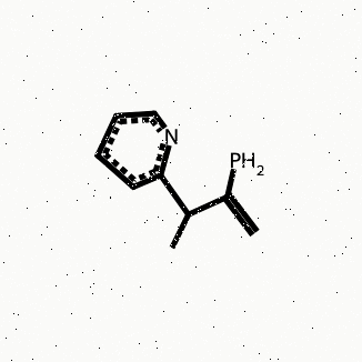 C=C(P)C(C)c1ccccn1